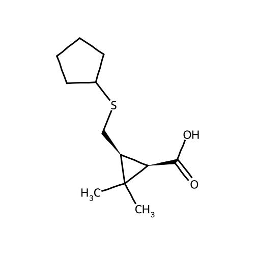 CC1(C)[C@H](C(=O)O)[C@@H]1CSC1CCCC1